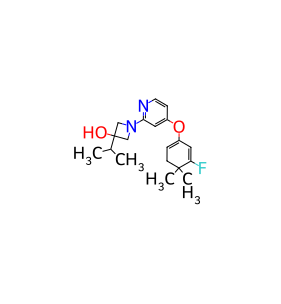 CC(C)C1(O)CN(c2cc(OC3=CCC(C)(C)C(F)=C3)ccn2)C1